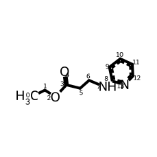 CCOC(=O)CCNc1ccccn1